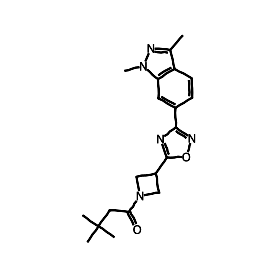 Cc1nn(C)c2cc(-c3noc(C4CN(C(=O)CC(C)(C)C)C4)n3)ccc12